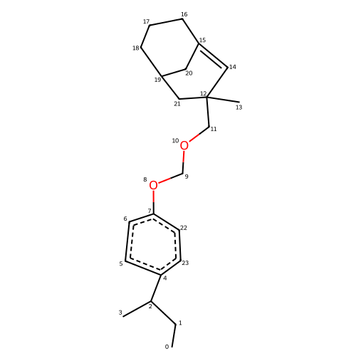 CCC(C)c1ccc(OCOCC2(C)C=C3CCCC(C3)C2)cc1